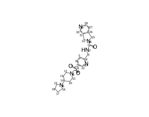 O=C(NCc1ccc(S(=O)(=O)N2CCC(N3CCCC3)CC2)cn1)N1Cc2ccncc2C1